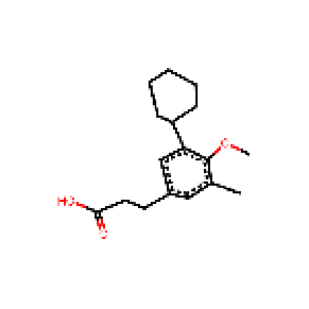 COc1c(C)cc(CCC(=O)O)cc1C1CCCCC1